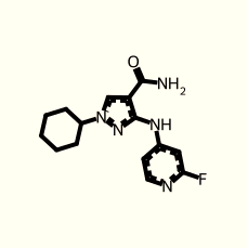 NC(=O)c1cn(C2CCCCC2)nc1Nc1ccnc(F)c1